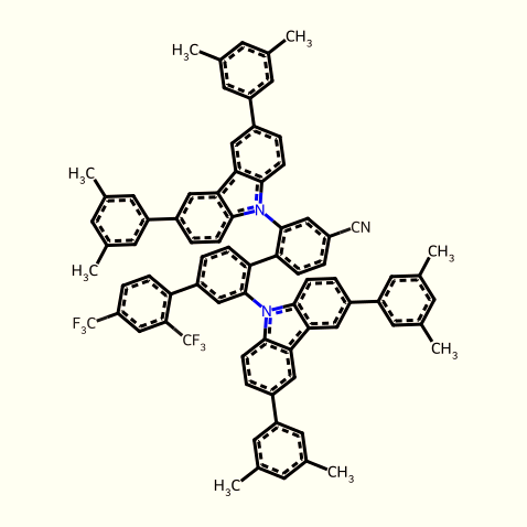 Cc1cc(C)cc(-c2ccc3c(c2)c2cc(-c4cc(C)cc(C)c4)ccc2n3-c2cc(C#N)ccc2-c2ccc(-c3ccc(C(F)(F)F)cc3C(F)(F)F)cc2-n2c3ccc(-c4cc(C)cc(C)c4)cc3c3cc(-c4cc(C)cc(C)c4)ccc32)c1